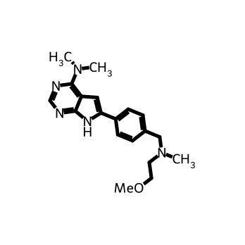 COCCN(C)Cc1ccc(-c2cc3c(N(C)C)ncnc3[nH]2)cc1